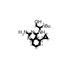 CCCCC(CO)Nc1nc(N)nc2cccc(C3CC3)c12